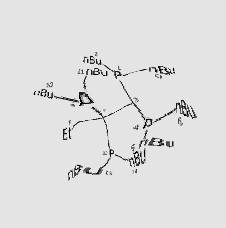 CCCCP(CCCC)C(P(CCCC)CCCC)C(CC)(P(CCCC)CCCC)P(CCCC)CCCC